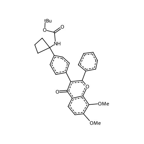 COc1ccc2c(=O)c(-c3ccc(C4(NC(=O)OC(C)(C)C)CCC4)cc3)c(-c3ccccc3)oc2c1OC